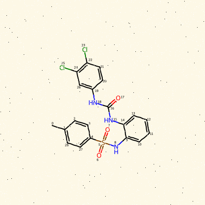 Cc1ccc(S(=O)(=O)Nc2ccccc2NC(=O)Nc2ccc(Cl)c(Cl)c2)cc1